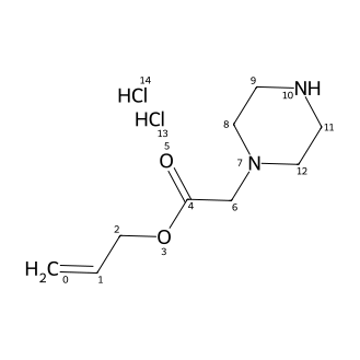 C=CCOC(=O)CN1CCNCC1.Cl.Cl